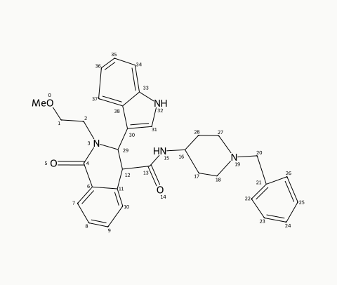 COCCN1C(=O)c2ccccc2C(C(=O)NC2CCN(Cc3ccccc3)CC2)C1c1c[nH]c2ccccc12